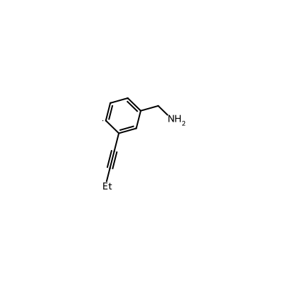 CCC#Cc1[c]ccc(CN)c1